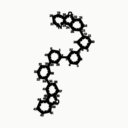 c1cc(-c2cccc(-c3cccc(-c4ccc5oc6cccnc6c5c4)c3)c2)cc(-c2cccc(-c3ccc4oc5ccccc5c4c3)c2)c1